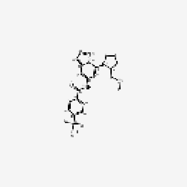 COCC1CCCN1c1nc(NC(=O)c2ccc(C(C)(C)O)cc2)cc2ccnn12